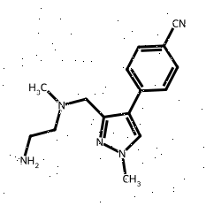 CN(CCN)Cc1nn(C)cc1-c1ccc(C#N)cc1